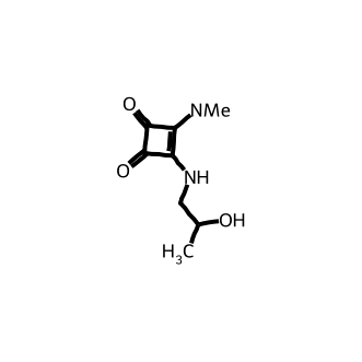 CNc1c(NCC(C)O)c(=O)c1=O